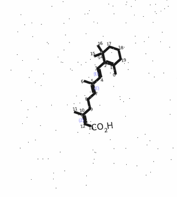 CC1=C(/C=C/C(C)=C/CC/C(C)=C\C(=O)O)C(C)(C)CCC1